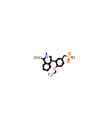 CCS(=O)(=O)Cc1ccc(OCC(F)(F)F)c(-c2c[n+](C)c(C=O)c3ccccc23)c1